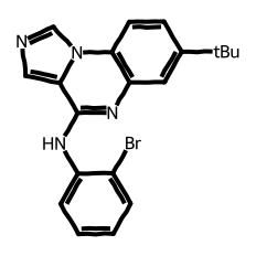 CC(C)(C)c1ccc2c(c1)nc(Nc1ccccc1Br)c1cncn12